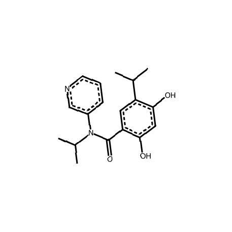 CC(C)c1cc(C(=O)N(c2cccnc2)C(C)C)c(O)cc1O